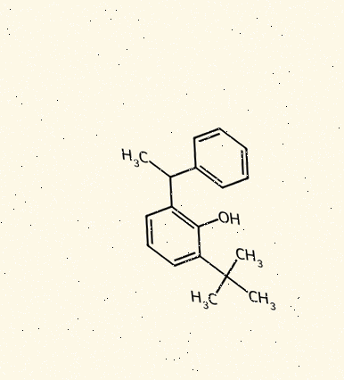 CC(c1ccccc1)c1cccc(C(C)(C)C)c1O